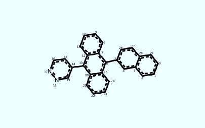 c1ccc2cc(-c3c4ccccc4c(-c4ccnnc4)c4ccccc34)ccc2c1